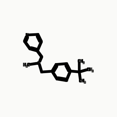 CN(Cc1c[c]c(C(C)(C)C)cc1)Cc1ccncc1